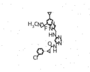 CN1CC(F)(c2cc(C3CC3)cn3cc(CNc4cc(NC(=O)[C@H]5C[C@@H]5c5cccc(Cl)c5)ncn4)nc23)C1